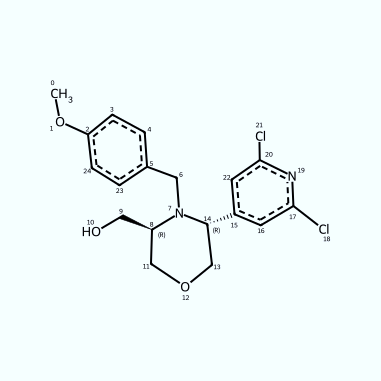 COc1ccc(CN2[C@H](CO)COC[C@H]2c2cc(Cl)nc(Cl)c2)cc1